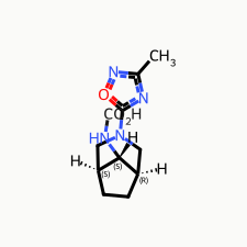 Cc1noc(N2C[C@H]3CC[C@@H](C2)[C@@H]3NC(=O)O)n1